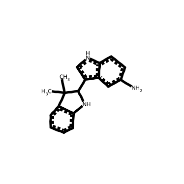 CC1(C)c2ccccc2NC1c1c[nH]c2ccc(N)cc12